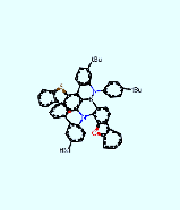 CC(C)(C)c1ccc(N2B3c4ccc5c(oc6ccccc65)c4N(c4ccc(C(C)(C)C)cc4-c4ccccc4)c4cc5c(sc6ccccc65)c(c43)-c3ccc(C(C)(C)C)cc32)cc1